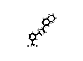 O=C(O)c1cccc(-c2nc(C3=CC4OCCOC4C=C3)co2)c1